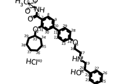 CS(=O)(=O)NC(=O)c1ccc(-c2ccc(OCCNC[C@@H](O)c3ccccc3)cc2)cc1OC1CCCCCC1.Cl